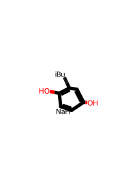 CCC(C)c1cc(O)ccc1O.[NaH]